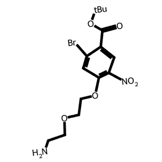 CC(C)(C)OC(=O)c1cc([N+](=O)[O-])c(OCCOCCN)cc1Br